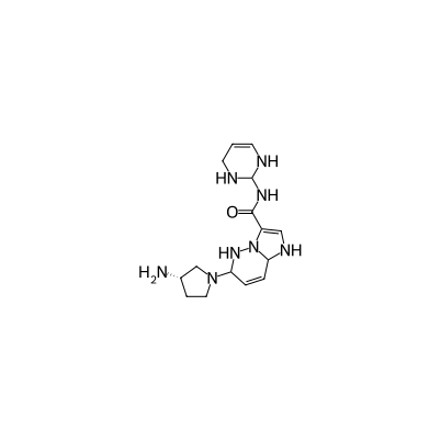 N[C@H]1CCN(C2C=CC3NC=C(C(=O)NC4NC=CCN4)N3N2)C1